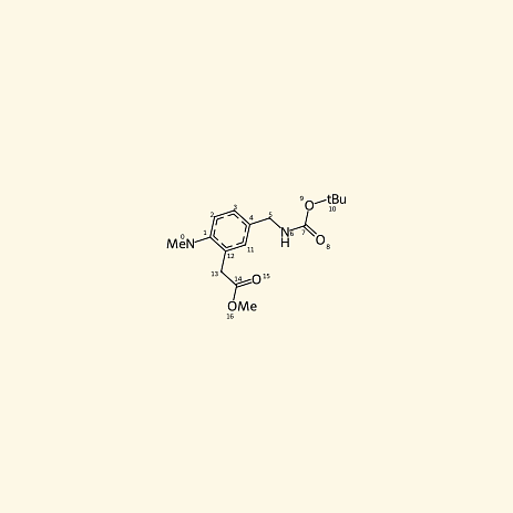 CNc1ccc(CNC(=O)OC(C)(C)C)cc1CC(=O)OC